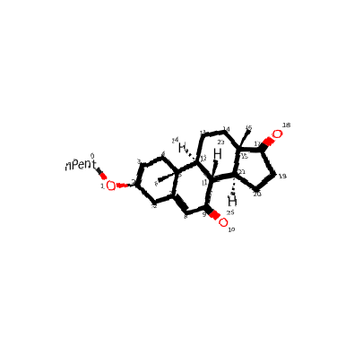 CCCCCO[C@H]1CC[C@@]2(C)C(=CC(=O)[C@@H]3[C@@H]2CC[C@]2(C)C(=O)CC[C@@H]32)C1